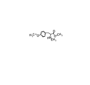 CCOc1ccc(CC(NC)C(=O)OC)cc1